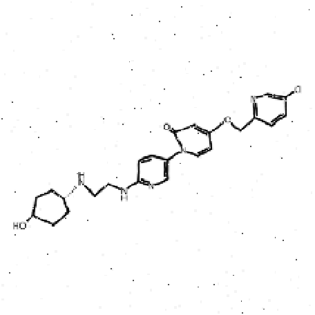 O=c1cc(OCc2ccc(Cl)cn2)ccn1-c1ccc(NCCN[C@H]2CC[C@H](O)CC2)nc1